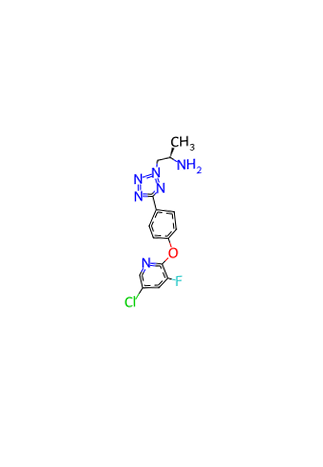 C[C@@H](N)Cn1nnc(-c2ccc(Oc3ncc(Cl)cc3F)cc2)n1